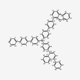 c1ccc(-c2ccc(-c3ccc(N(c4ccc(-c5ccc(-c6cccc7c6oc6ccccc67)cc5)cc4)c4ccc(-c5ccc(-c6ccccc6)c6ccccc56)cc4)cc3)cc2)cc1